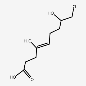 C/C(=C\CCC(O)CCl)CCC(=O)O